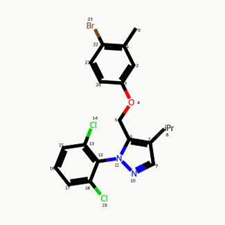 Cc1cc(OCc2c(C(C)C)cnn2-c2c(Cl)cccc2Cl)ccc1Br